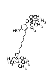 CC(C)(C)[Si](C)(C)OCCCCCCCC1=C[C@@H](O[Si](C)(C)C(C)(C)C)C[C@@H]1O